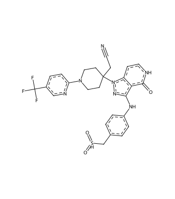 N#CCC1(n2nc(Nc3ccc(C[SH](=O)=O)cc3)c3c(=O)[nH]ccc32)CCN(c2ccc(C(F)(F)F)cn2)CC1